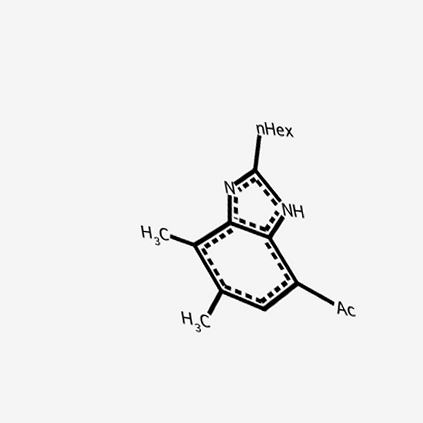 CCCCCCc1nc2c(C)c(C)cc(C(C)=O)c2[nH]1